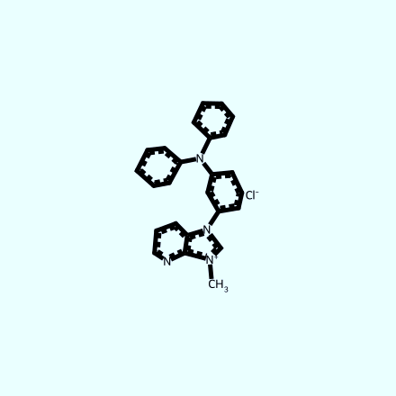 C[n+]1cn(-c2cccc(N(c3ccccc3)c3ccccc3)c2)c2cccnc21.[Cl-]